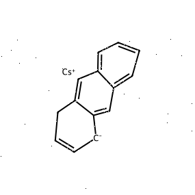 C1=CCc2cc3ccccc3cc2[CH-]1.[Cs+]